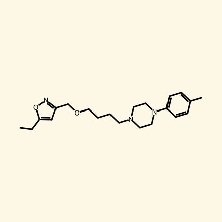 CCc1cc(COCCCCN2CCN(c3ccc(C)cc3)CC2)no1